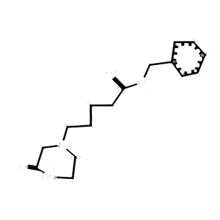 O=C1CN(CCCCC(=O)OCc2ccccc2)CCN1